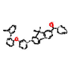 Cc1ccccc1-c1ccccc1Oc1cccc(-c2ccc3c(c2)C(C)(C)c2cc(C(=O)c4ccccc4)ccc2-3)c1